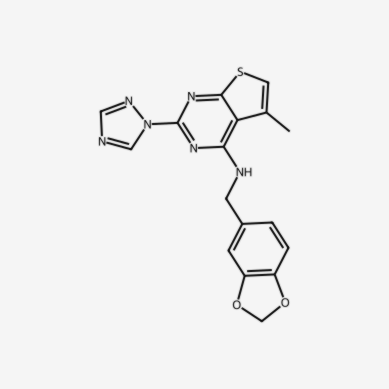 Cc1csc2nc(-n3cncn3)nc(NCc3ccc4c(c3)OCO4)c12